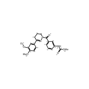 CCOc1cc(C2=NN(C(=O)c3cccc(NC(=O)OC)c3)CCC2)ccc1OC